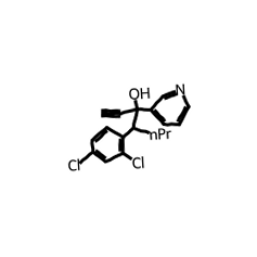 C#CC(O)(c1cccnc1)C(CCC)c1ccc(Cl)cc1Cl